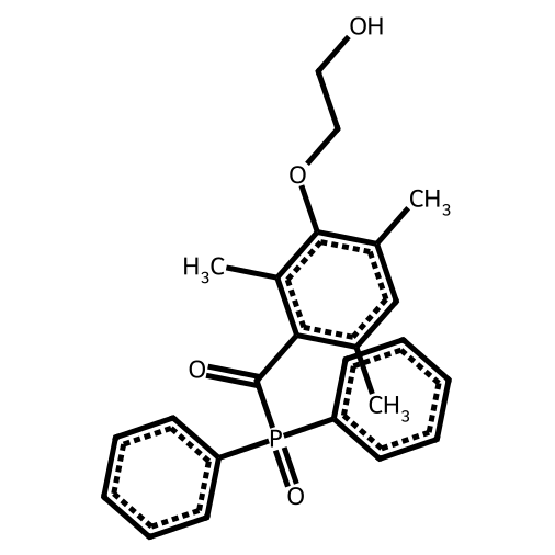 Cc1cc(C)c(C(=O)P(=O)(c2ccccc2)c2ccccc2)c(C)c1OCCO